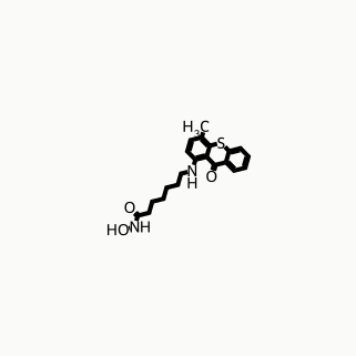 Cc1ccc(NCCCCCCC(=O)NO)c2c(=O)c3ccccc3sc12